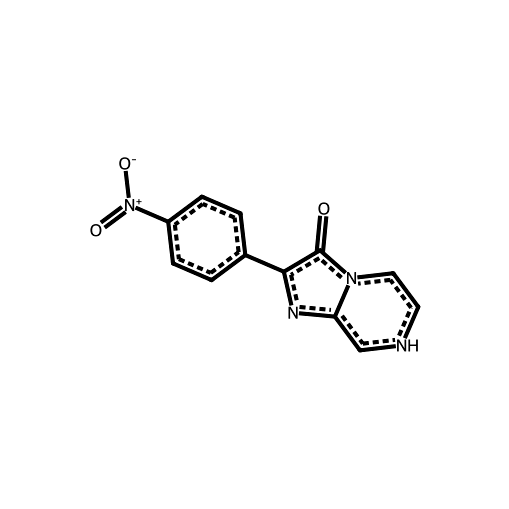 O=c1c(-c2ccc([N+](=O)[O-])cc2)nc2c[nH]ccn1-2